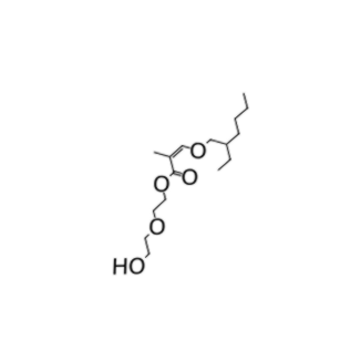 CCCCC(CC)COC=C(C)C(=O)OCCOCCO